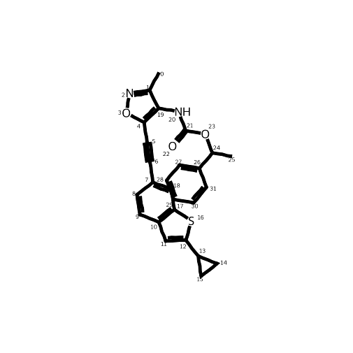 Cc1noc(C#Cc2ccc3cc(C4CC4)sc3c2)c1NC(=O)OC(C)c1ccccc1